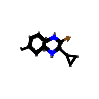 Cc1ccc2nc(Br)c(C3CC3)nc2c1